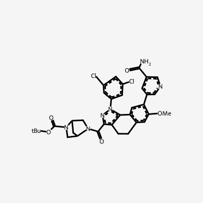 COc1cc2c(cc1-c1cncc(C(N)=O)c1)-c1c(c(C(=O)N3CC4CC3CN4C(=O)OC(C)(C)C)nn1-c1cc(Cl)cc(Cl)c1)CC2